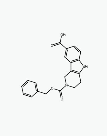 O=C(O)c1ccc2[nH]c3c(c2c1)CN(C(=O)OCc1ccccc1)CC3